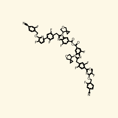 N#Cc1ccc(COc2nc(-c3cc(F)c(Cc4nc5c(F)cc(C(=O)OC(=O)c6cc(F)c7nc(Cc8cc(F)c(-c9ccc(F)c(OCc%10ccc(C#N)cc%10F)n9)cc8F)n(C8COCC89CC9)c7c6)cc5n4C4COCC45CC5)cc3F)ccc2F)c(F)c1